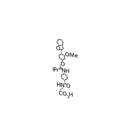 COc1cc(OC[C@@H](Nc2ccc(C(=O)NCCC(=O)O)cc2)C(C)C)ccc1-c1cc2ccccc2o1